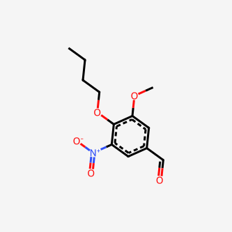 CCCCOc1c(OC)cc(C=O)cc1[N+](=O)[O-]